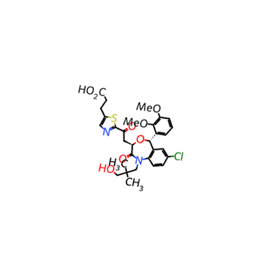 COc1cccc([C@H]2O[C@H](CC(=O)c3ncc(CCC(=O)O)s3)C(=O)N(CC(C)(C)CO)c3ccc(Cl)cc32)c1OC